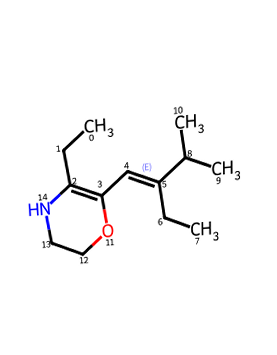 CCC1=C(/C=C(\CC)C(C)C)OCCN1